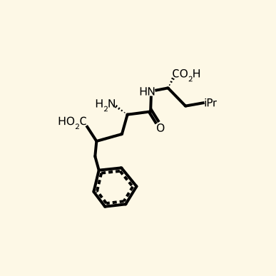 CC(C)C[C@H](NC(=O)[C@@H](N)CC(Cc1ccccc1)C(=O)O)C(=O)O